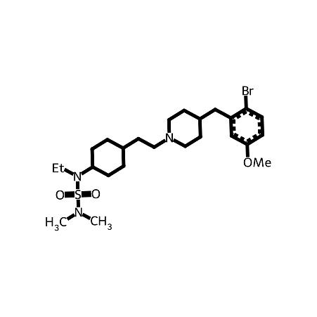 CCN(C1CCC(CCN2CCC(Cc3cc(OC)ccc3Br)CC2)CC1)S(=O)(=O)N(C)C